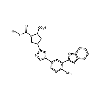 CC(C)(C)OC(=O)N1CC(n2cc(-c3cnc(N)c(-c4nc5ccccc5o4)c3)cn2)CC1C(=O)O